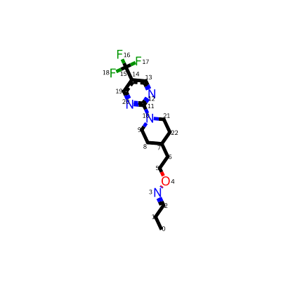 CCC=NOCCC1CCN(c2ncc(C(F)(F)F)cn2)CC1